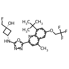 Cc1cc(-c2nnc(N[C@H]3C[C@](O)(CF)C3)o2)nc2c(C(C)(C)C)cc(OCC(F)(F)F)cc12